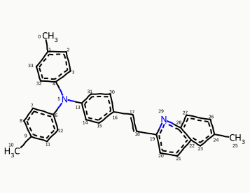 Cc1ccc(N(c2ccc(C)cc2)c2ccc(C=Cc3ccc4cc(C)ccc4n3)cc2)cc1